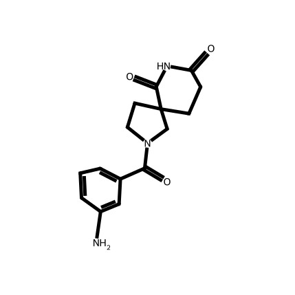 Nc1cccc(C(=O)N2CCC3(CCC(=O)NC3=O)C2)c1